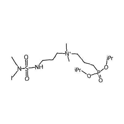 CC(C)OP(=O)(CCC[N+](C)(C)CCCNS(=O)(=O)N(C)I)OC(C)C